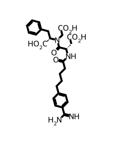 N=C(N)c1ccc(CCCCC(=O)N[C@@H](CC(=O)O)C(=O)N(CC(=O)O)[C@@H](Cc2ccccc2)C(=O)O)cc1